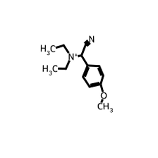 CC[N+](CC)C(C#N)c1ccc(OC)cc1